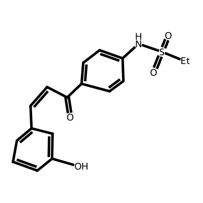 CCS(=O)(=O)Nc1ccc(C(=O)/C=C\c2cccc(O)c2)cc1